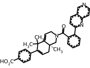 CC1(C)C(c2ccc(C(=O)O)cc2)=CC[C@]2(C)CN(C(=O)c3ccccc3-c3ccc4cnccc4n3)CC=C12